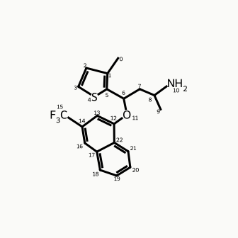 Cc1ccsc1C(CC(C)N)Oc1cc(C(F)(F)F)cc2ccccc12